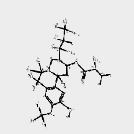 [2H]C([2H])([2H])Oc1cc2c(cc1OC)C1([2H])CC(OC(=O)[C@@H](N)C(C)C)C(C([2H])([2H])C([2H])(C)C([2H])([2H])[2H])CN1C([2H])([2H])C2([2H])[2H]